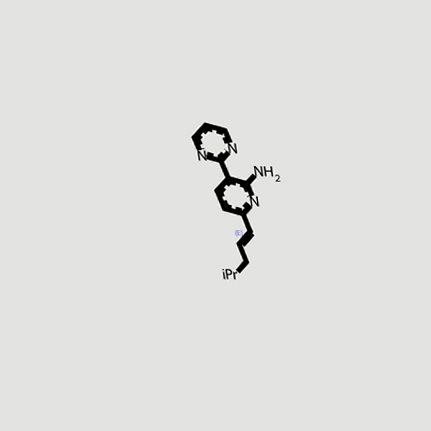 CC(C)C/C=C/c1ccc(-c2ncccn2)c(N)n1